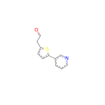 O=CCc1ccc(-c2cccnc2)s1